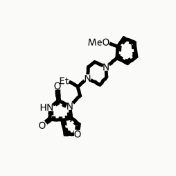 CCC(Cn1c(=O)[nH]c(=O)c2cocc21)N1CCN(c2ccccc2OC)CC1